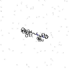 CCC(C(=O)C(C)(C)[C@@H]1CCOC(C)(C)O1)[C@@H](O)[C@@H](C)CCC/C(C)=C/C[C@H](O[Si](C)(C)C(C)(C)C)/C(Cl)=C/c1ccccn1